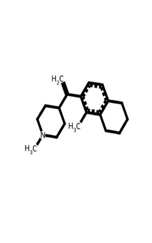 C=C(c1ccc2c(c1C)CCCC2)C1CCN(C)CC1